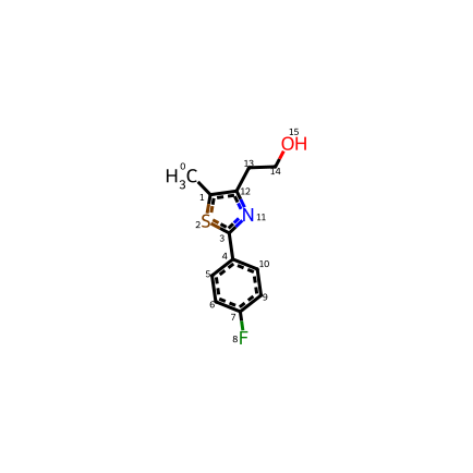 Cc1sc(-c2ccc(F)cc2)nc1CCO